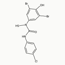 O=C(Nc1ccc(Cl)cc1)N(S)c1cc(Br)c(O)c(Br)c1